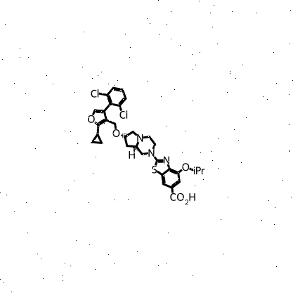 CC(C)Oc1cc(C(=O)O)cc2sc(N3CCN4C[C@@H](OCc5c(-c6c(Cl)cccc6Cl)coc5C5CC5)C[C@@H]4C3)nc12